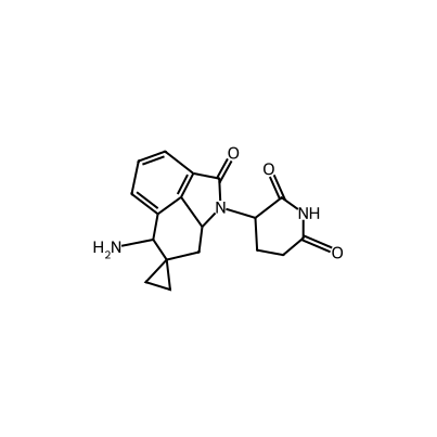 NC1c2cccc3c2C(CC12CC2)N(C1CCC(=O)NC1=O)C3=O